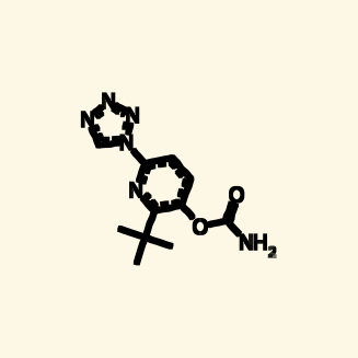 CC(C)(C)c1nc(-n2cnnn2)ccc1OC(N)=O